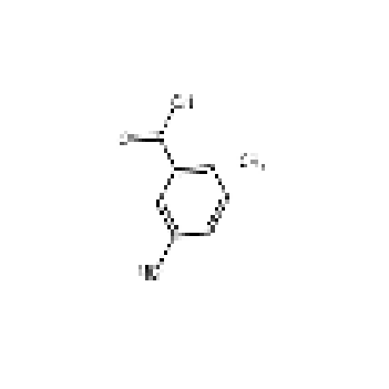 C.O=C(O)c1cccc(O)c1